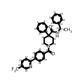 C[C@H](NC(=O)C1(c2ccccc2)CCN(C(=O)c2ccc(-c3ccc(C(F)(F)F)cn3)cc2)CC1)c1ccccc1